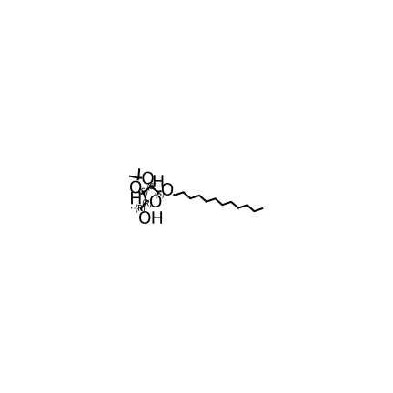 CCCCCCCCCCCCO[C@H]1O[C@H]([C@@H](C)O)[C@@H]2OC(C)(C)O[C@H]12